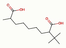 CC(CCCCCC(C(=O)O)C(C)(C)C)C(=O)O